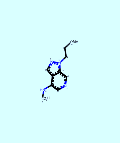 COCCn1ncc2c(NC(=O)O)cncc21